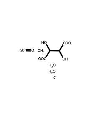 O.O.O.O=C([O-])C(O)C(O)C(=O)[O-].[K+].[O]=[Sb+]